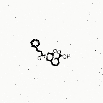 O=C(O)C1CCCC2CN(C(=O)CCc3ccccc3)CC(=O)N21